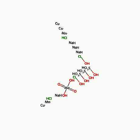 Cl.Cl.O=S(=O)(O)O.O=S(=O)(O)O.O=S(=O)(O)O.OCl.OCl.[Co].[Cu].[Cu].[Mn].[Mn].[NaH].[NaH].[NaH].[NaH].[O]=[Mo](=[O])([OH])[OH]